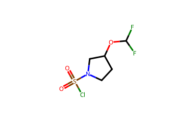 O=S(=O)(Cl)N1CCC(OC(F)F)C1